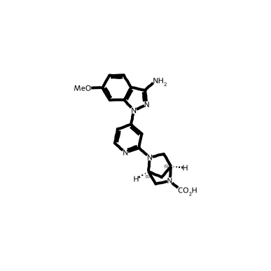 COc1ccc2c(N)nn(-c3ccnc(N4C[C@@H]5C[C@H]4CN5C(=O)O)c3)c2c1